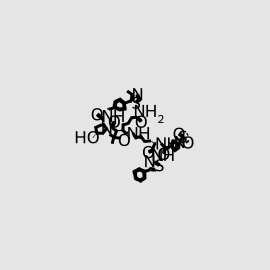 Cc1ncsc1-c1ccc(CNC(=O)[C@@H]2C[C@@H](O)CN2C(=O)[C@@H](C(CCCC(N)=O)C(=O)NCCCC[C@H](NC(=O)c2ccn(S(C)(=O)=O)c2)C(=O)Nc2nc(-c3ccccc3)cs2)C(C)(C)C)cc1